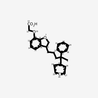 CC(CCCC1COc2c(OCC(=O)O)cccc21)(c1ccccc1)c1ccccc1